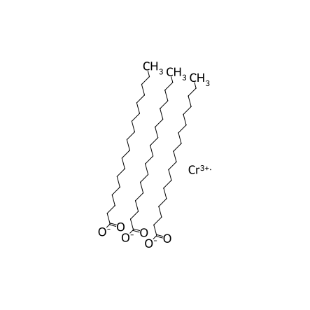 CCCCCCCCCCCCCCCCCC(=O)[O-].CCCCCCCCCCCCCCCCCC(=O)[O-].CCCCCCCCCCCCCCCCCC(=O)[O-].[Cr+3]